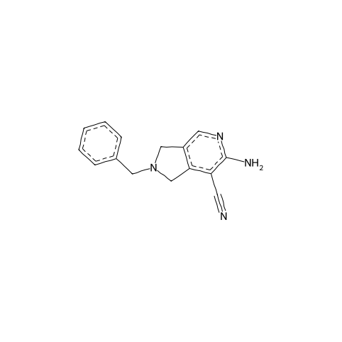 N#Cc1c(N)ncc2c1CN(Cc1ccccc1)C2